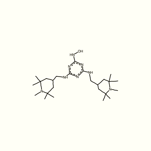 CN1C(C)(C)CC(CNc2nc(NO)nc(NCC3CC(C)(C)N(C)C(C)(C)C3)n2)CC1(C)C